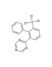 ClC(Cl)(Cl)c1cccc(-c2ncncn2)c1-c1ccccc1